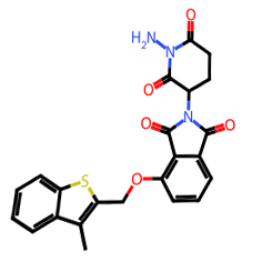 Cc1c(COc2cccc3c2C(=O)N(C2CCC(=O)N(N)C2=O)C3=O)sc2ccccc12